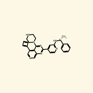 C[C@@H](Nc1cc(-c2nc(N3CCNCC3)c3c(C4=CC=C4)cncc3n2)ccn1)c1ccccc1